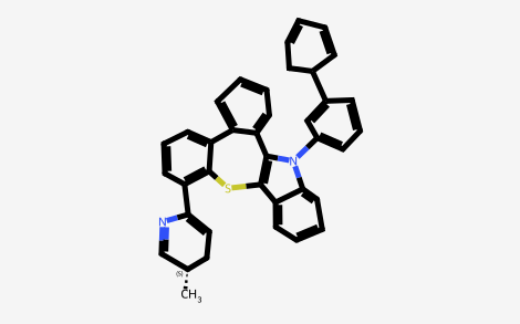 C[C@@H]1C=NC(c2cccc3c2Sc2c(n(-c4cccc(C5C=CC=CC5)c4)c4ccccc24)-c2ccccc2-3)=CC1